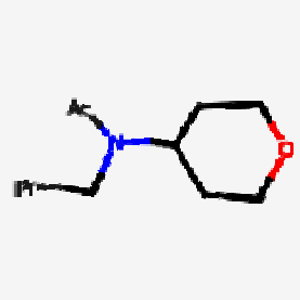 CC(=O)N(CC(C)C)C1CCOCC1